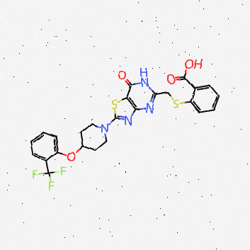 O=C(O)c1ccccc1SCc1nc2nc(N3CCC(Oc4ccccc4C(F)(F)F)CC3)sc2c(=O)[nH]1